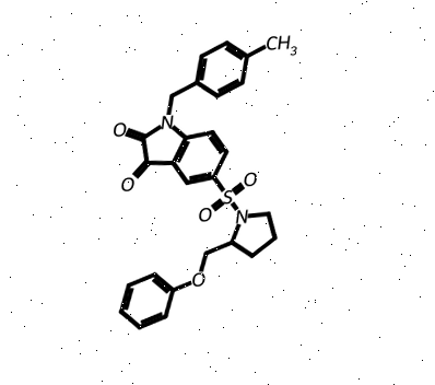 Cc1ccc(CN2C(=O)C(=O)c3cc(S(=O)(=O)N4CCCC4COc4ccccc4)ccc32)cc1